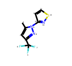 Cc1cc(C(F)(F)F)nn1-c1c[c]sn1